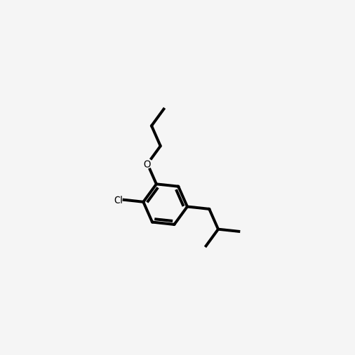 CCCOc1cc(CC(C)C)ccc1Cl